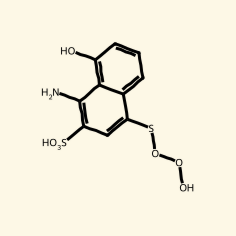 Nc1c(S(=O)(=O)O)cc(SOOO)c2cccc(O)c12